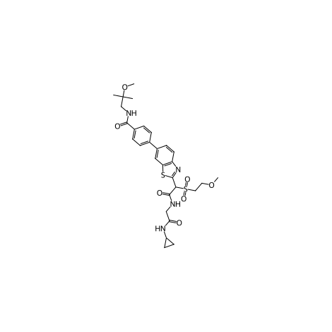 COCCS(=O)(=O)C(C(=O)NCC(=O)NC1CC1)c1nc2ccc(-c3ccc(C(=O)NCC(C)(C)OC)cc3)cc2s1